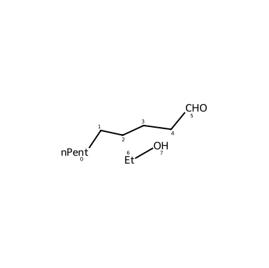 CCCCCCCCCC=O.CCO